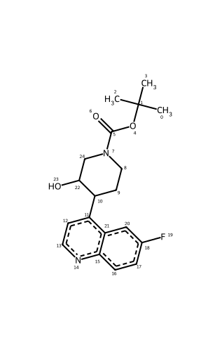 CC(C)(C)OC(=O)N1CCC(c2ccnc3ccc(F)cc23)C(O)C1